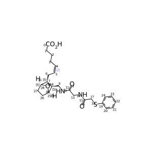 O=C(O)CCC/C=C\C[C@H]1[C@@H](CNC(=O)CNC(=O)CSc2ccccc2)[C@H]2CC[C@@H]1O2